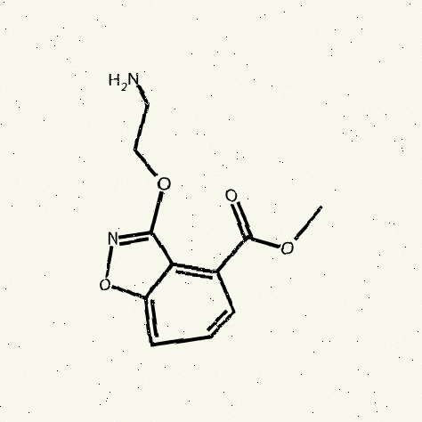 COC(=O)c1cccc2onc(OCCN)c12